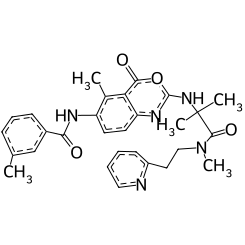 Cc1cccc(C(=O)Nc2ccc3nc(NC(C)(C)C(=O)N(C)CCc4ccccn4)oc(=O)c3c2C)c1